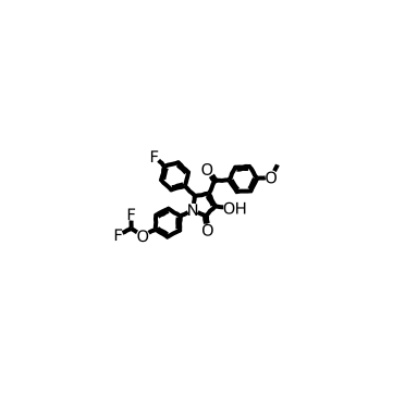 COc1ccc(C(=O)C2=C(O)C(=O)N(c3ccc(OC(F)F)cc3)C2c2ccc(F)cc2)cc1